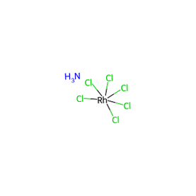 N.[Cl][Rh]([Cl])([Cl])([Cl])([Cl])[Cl]